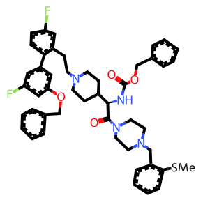 CSc1ccccc1CN1CCN(C(=O)[C@H](NC(=O)OCc2ccccc2)C2CCN(CCc3cc(F)ccc3-c3cc(F)cc(OCc4ccccc4)c3)CC2)CC1